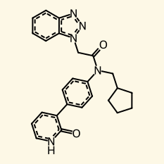 O=C(Cn1nnc2ccccc21)N(CC1CCCC1)c1ccc(-c2ccc[nH]c2=O)cc1